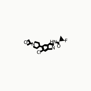 O=C(Nc1cc2cc(C3CCN(C4COC4)CC3)c(Cl)cc2cn1)[C@@H]1C[C@@H]1F